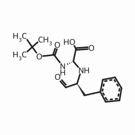 CC(C)(C)OC(=O)N[C@@H](N[C@H](C=O)Cc1ccccc1)C(=O)O